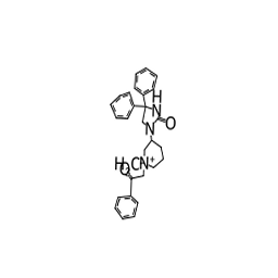 C[N+]1(CC(=O)c2ccccc2)CCCC(N2CC(c3ccccc3)(c3ccccc3)NC2=O)C1